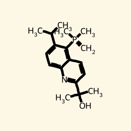 C=P(C)(C)c1c(C(C)C)ccc2nc(C(C)(C)O)ccc12